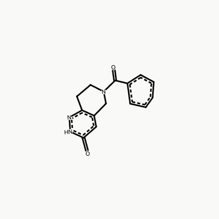 O=C(c1ccccc1)N1CCc2n[nH]c(=O)cc2C1